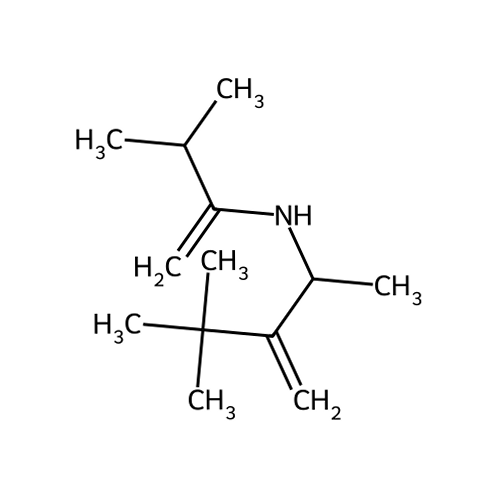 C=C(NC(C)C(=C)C(C)(C)C)C(C)C